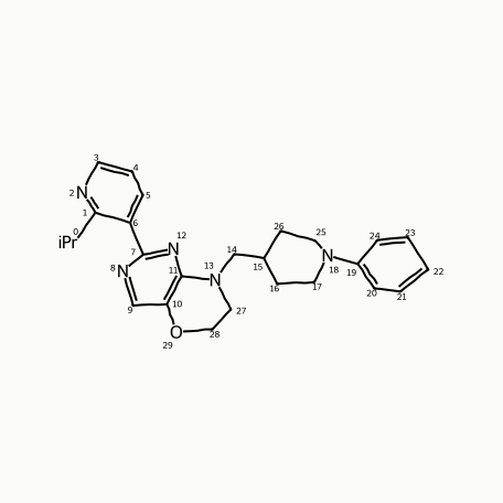 CC(C)c1ncccc1-c1ncc2c(n1)N(CC1CCN(c3ccccc3)CC1)CCO2